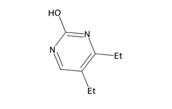 CCc1cnc(O)nc1CC